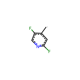 [CH2]c1cc(F)ncc1F